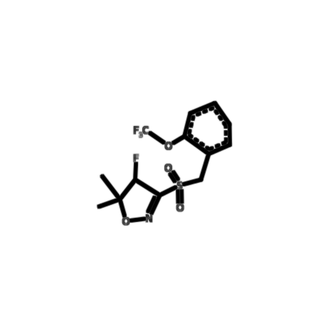 CC1(C)ON=C(S(=O)(=O)Cc2ccccc2OC(F)(F)F)C1F